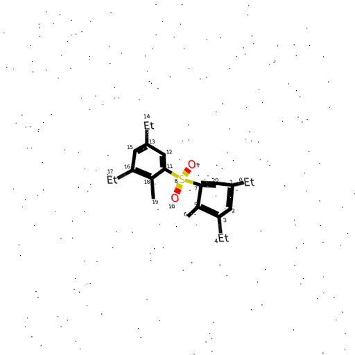 CCc1cc(CC)c(C)c(S(=O)(=O)c2cc(CC)cc(CC)c2C)c1